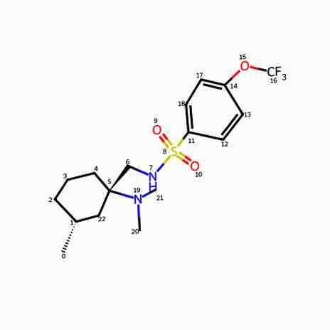 C[C@@H]1CCC[C@](CNS(=O)(=O)c2ccc(OC(F)(F)F)cc2)(N(C)C)C1